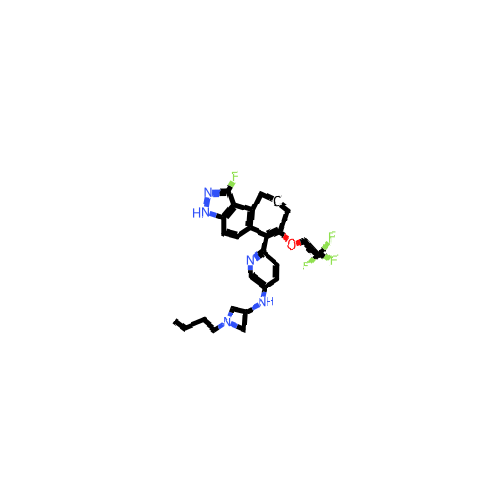 CCCCN1CC(Nc2ccc(C3=C(OCC(F)(F)F)CCCc4c3ccc3[nH]nc(F)c43)nc2)C1